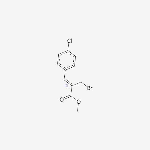 COC(=O)/C(=C/c1ccc(Cl)cc1)CBr